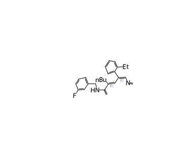 C=N/C=C(\C=C(/CCCC)C(=C)NCc1cccc(F)c1)c1ccccc1CC